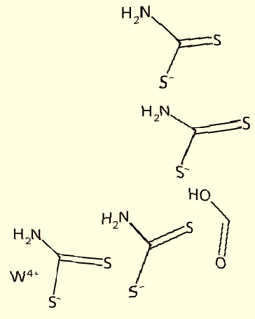 NC(=S)[S-].NC(=S)[S-].NC(=S)[S-].NC(=S)[S-].O=CO.[W+4]